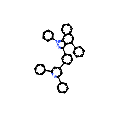 c1ccc(-c2cc(-c3cccc(-c4nn(-c5ccccc5)c5c4c(-c4ccccc4)cc4ccccc45)c3)cc(-c3ccccc3)n2)cc1